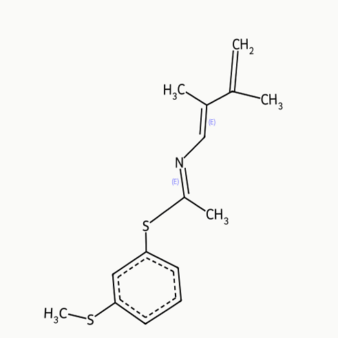 C=C(C)/C(C)=C/N=C(\C)Sc1cccc(SC)c1